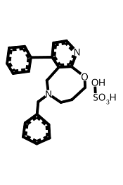 O=S(=O)(O)O.c1ccc(CN2CCCOc3nccc(-c4ccccc4)c3C2)cc1